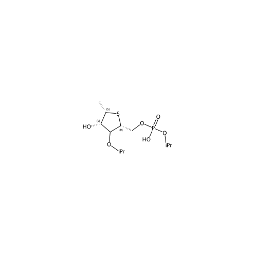 CC(C)OC1[C@@H](COP(=O)(O)OC(C)C)S[C@@H](C)[C@H]1O